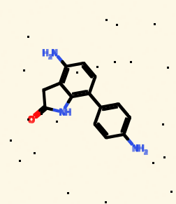 Nc1ccc(-c2ccc(N)c3c2NC(=O)C3)cc1